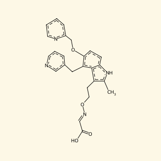 Cc1[nH]c2ccc(OCc3ccccn3)c(Cc3cccnc3)c2c1CCON=CC(=O)O